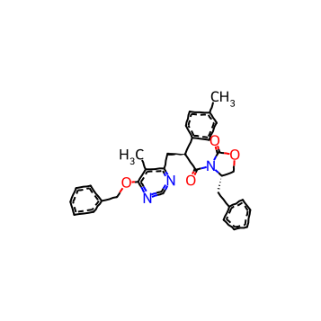 Cc1ccc([C@H](Cc2ncnc(OCc3ccccc3)c2C)C(=O)N2C(=O)OC[C@@H]2Cc2ccccc2)cc1